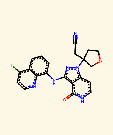 N#CCC1(n2nc(Nc3cccc4c(F)ccnc34)c3c(=O)[nH]ccc32)CCOC1